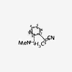 CNCc1ncccc1C(C)C#N